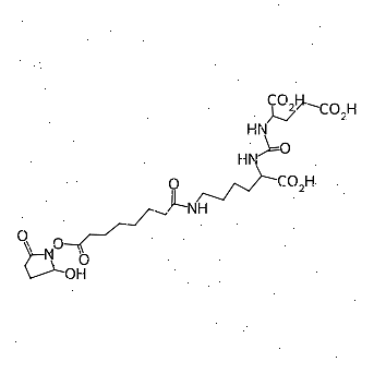 O=C(O)CCC(NC(=O)NC(CCCCNC(=O)CCCCCCC(=O)ON1C(=O)CCC1O)C(=O)O)C(=O)O